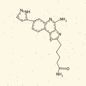 NC(=O)CCCCc1nc2c(N)nc3cc(-c4ccn[nH]4)ccc3c2s1